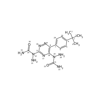 CC(C)(C)c1ccc(-c2nnc(N(N)C(N)=O)nc2N(N)C(N)=O)cc1